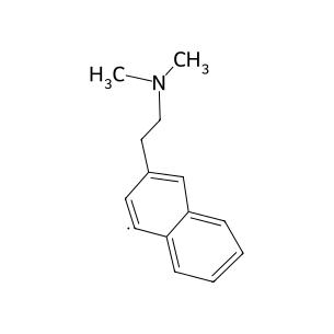 CN(C)CCc1c[c]c2ccccc2c1